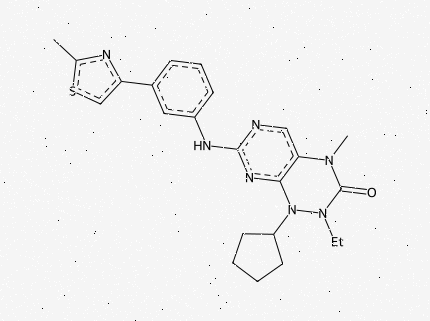 CCN1C(=O)N(C)c2cnc(Nc3cccc(-c4csc(C)n4)c3)nc2N1C1CCCC1